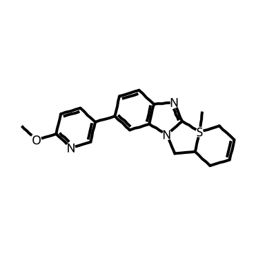 COc1ccc(-c2ccc3nc4n(c3c2)CC2CC=CCS42C)cn1